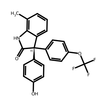 Cc1cccc2c1NC(=O)[C@@]2(c1ccc(O)cc1)c1ccc(OC(F)(F)F)cc1